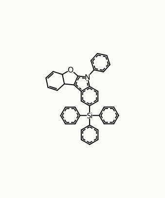 C1=CC2Oc3c(c4cc([Si](c5ccccc5)(c5ccccc5)c5ccccc5)ccc4n3-c3ccccc3)C2C=C1